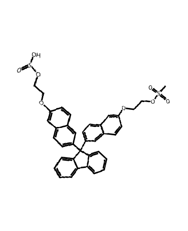 CS(=O)(=O)OCCOc1ccc2cc(C3(c4ccc5cc(OCCOS(=O)O)ccc5c4)c4ccccc4-c4ccccc43)ccc2c1